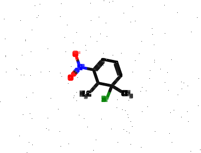 CC1C([N+](=O)[O-])=CC=CC1(C)Br